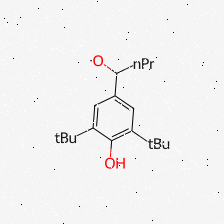 CCCC([O])c1cc(C(C)(C)C)c(O)c(C(C)(C)C)c1